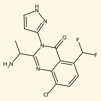 CC(N)c1nc2c(Cl)ccc(C(F)F)c2c(=O)n1-c1cc[nH]n1